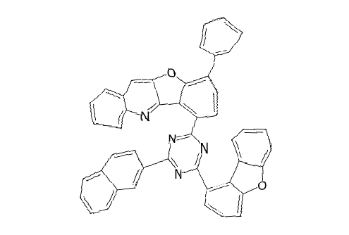 c1ccc(-c2ccc(-c3nc(-c4ccc5ccccc5c4)nc(-c4cccc5oc6ccccc6c45)n3)c3c2oc2cc4ccccc4nc23)cc1